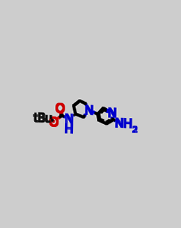 CC(C)(C)OC(=O)N[C@@H]1CCCN(c2ccc(N)nc2)C1